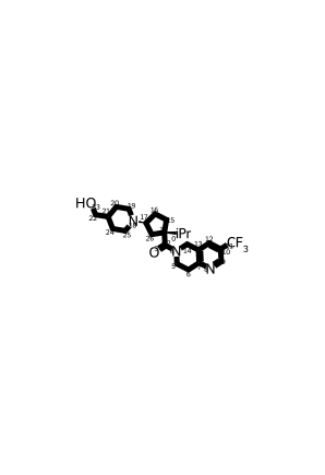 CC(C)[C@]1(C(=O)N2CCc3ncc(C(F)(F)F)cc3C2)CC[C@@H](N2CCC(CO)CC2)C1